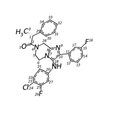 C[C@@H](C(=O)N1CCn2c(nc(-c3cccc(F)c3)c2Nc2ccc(Cl)c(F)c2)C1)c1ccccc1